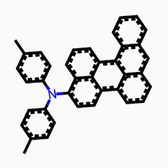 Cc1ccc(N(c2ccc(C)cc2)c2ccc3c4cccc5cc6ccccc6c(c6cccc2c36)c54)cc1